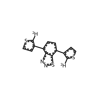 [2H]c1sccc1-c1ccc(-c2ccsc2[2H])c2snnc12